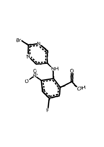 O=C(O)c1cc(F)cc([N+](=O)[O-])c1Nc1cnc(Br)nc1